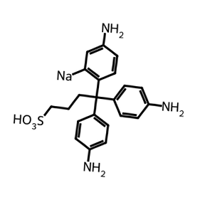 Nc1ccc(C(CCCS(=O)(=O)O)(c2ccc(N)cc2)c2ccc(N)c[c]2[Na])cc1